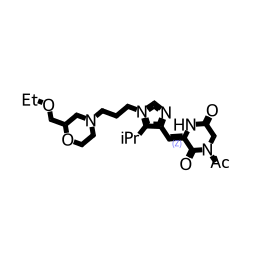 CCOCC1CN(CCCn2cnc(/C=C3\NC(=O)CN(C(C)=O)C3=O)c2C(C)C)CCO1